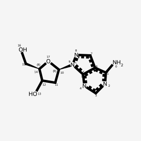 Nc1ncnc2c1cnn2[C@H]1CC(O)[C@@H](CO)O1